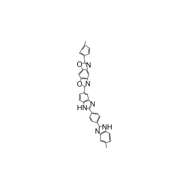 Cc1ccc(-c2nc3cc4nc(-c5ccc6[nH]c(-c7ccc(-c8nc9cc(C)ccc9[nH]8)cc7)nc6c5)oc4cc3o2)cc1